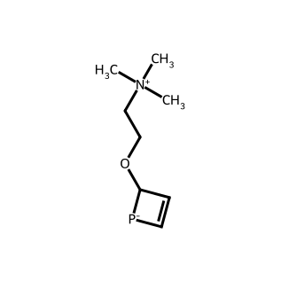 C[N+](C)(C)CCOC1C=C[P-]1